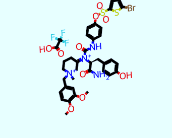 COc1ccc(C[N+]2(C)CCC/C(=[N+](\C(=O)Nc3ccc(OS(=O)(=O)c4ccc(Br)s4)cc3)[C@@H](Cc3ccc(O)cc3)C(N)=O)C2)cc1OC.O=C(O)C(F)(F)F